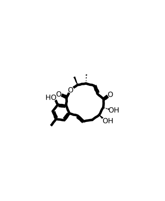 Cc1cc(O)c2c(c1)/C=C/C[C@H](O)[C@@H](O)C(=O)/C=C/[C@@H](C)[C@H](C)OC2=O